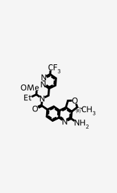 CCC(OC)N(Cc1ccc(C(F)(F)F)nn1)C(=O)c1ccc2nc(N)c3c(c2c1)CO[C@@H]3C